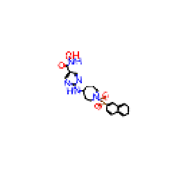 O=C(NO)c1cnc(NC2CCCN(S(=O)(=O)c3ccc4ccccc4c3)CC2)nc1